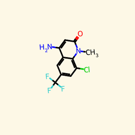 Cn1c(=O)cc(N)c2cc(C(F)(F)F)cc(Cl)c21